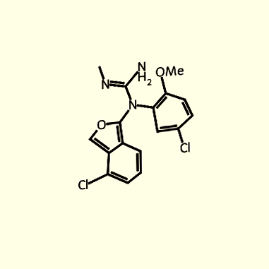 CN=C(N)N(c1cc(Cl)ccc1OC)c1occ2c(Cl)cccc12